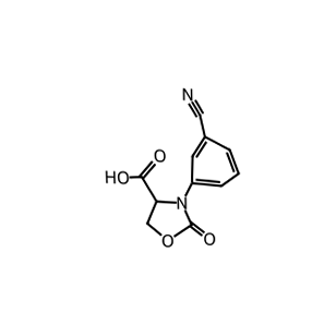 N#Cc1cccc(N2C(=O)OCC2C(=O)O)c1